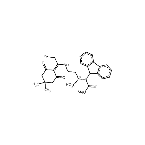 COC(=O)N(C1c2ccccc2-c2ccccc21)[C@H](CCNC(CC(C)C)=C1C(=O)CC(C)(C)CC1=O)C(=O)O